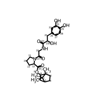 CC1(C)C2CCC1(C)C(OC(=O)C1CCCN1C(=O)CNC(=O)C(O)Cc1ccc(O)c(O)c1)C2